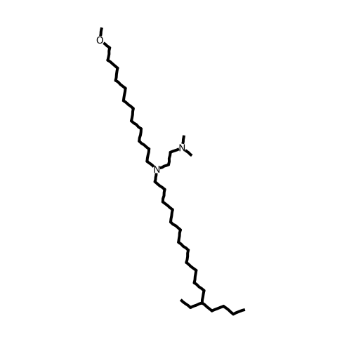 CCCCC(CC)CCCCCCCCCCCCN(CCCCCCCCCCCCOC)CCN(C)C